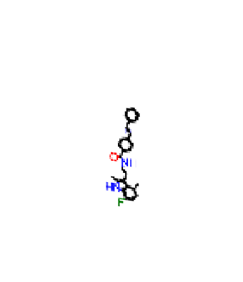 Cc1[nH]c2c(F)ccc(C)c2c1CCNC(=O)c1ccc(/C=C/c2ccccc2)cc1